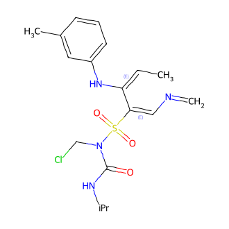 C=N/C=C(\C(=C/C)Nc1cccc(C)c1)S(=O)(=O)N(CCl)C(=O)NC(C)C